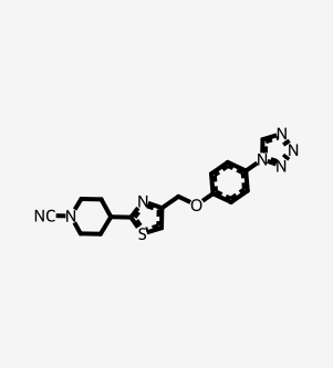 N#CN1CCC(c2nc(COc3ccc(-n4cnnn4)cc3)cs2)CC1